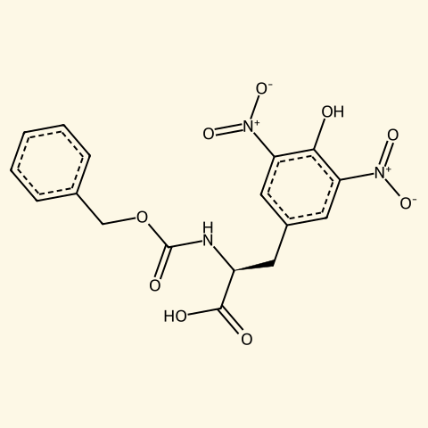 O=C(N[C@@H](Cc1cc([N+](=O)[O-])c(O)c([N+](=O)[O-])c1)C(=O)O)OCc1ccccc1